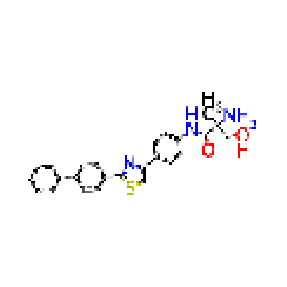 CC(N)(CO)C(=O)Nc1ccc(-c2csc(-c3ccc(-c4ccccc4)cc3)n2)cc1